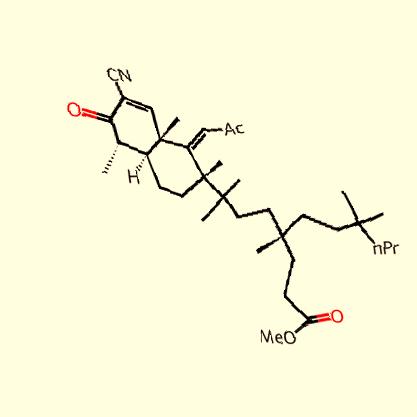 CCCC(C)(C)CC[C@](C)(CCC(=O)OC)CCC(C)(C)[C@]1(C)CC[C@H]2[C@H](C)C(=O)C(C#N)=C[C@]2(C)/C1=C/C(C)=O